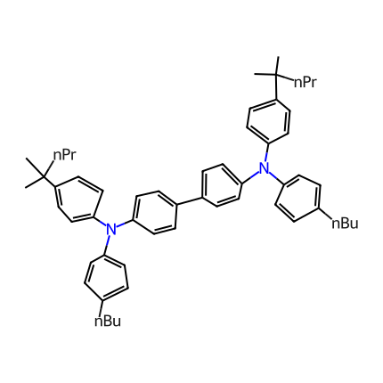 CCCCc1ccc(N(c2ccc(-c3ccc(N(c4ccc(CCCC)cc4)c4ccc(C(C)(C)CCC)cc4)cc3)cc2)c2ccc(C(C)(C)CCC)cc2)cc1